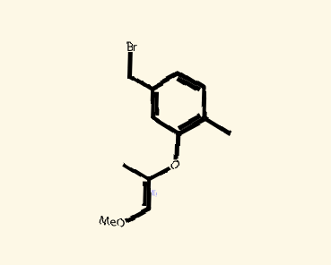 CO/C=C(\C)Oc1cc(CBr)ccc1C